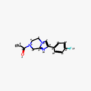 CC(C)(C)C(=O)N1CCn2cc(-c3ccc(F)cc3)nc2C1